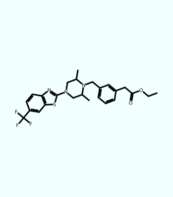 CCOC(=O)Cc1cccc(CN2C(C)CN(c3nc4ccc(C(F)(F)F)cc4s3)CC2C)c1